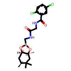 C[C@H]1C[C@H]2OB(CNC(=O)CNC(=O)c3cc(Cl)ccc3Cl)O[C@@]2(C)CC1(C)C